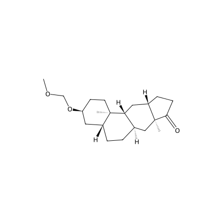 COCO[C@H]1CC[C@]2(C)[C@H](CC[C@@H]3C[C@]4(C)C(=O)CC[C@H]4C[C@H]32)C1